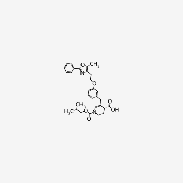 Cc1oc(-c2ccccc2)nc1CCOc1cccc(CC2=CN(C(=O)OCC(C)C)CC[C@H]2C(=O)O)c1